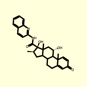 C[C@@H]1CC2C3CCC4=CC(=O)C=CC4(C)C3[C@@H](O)CC2(C)[C@@]1(O)C(=O)Nc1ccc2ccccc2n1